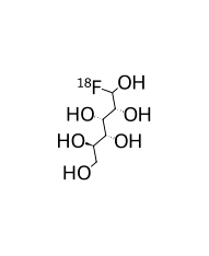 OC[C@@H](O)[C@@H](O)[C@H](O)[C@@H](O)C(O)[18F]